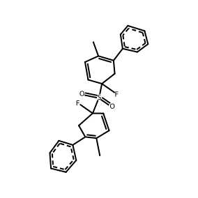 CC1=C(c2ccccc2)CC(F)(S(=O)(=O)C2(F)C=CC(C)=C(c3ccccc3)C2)C=C1